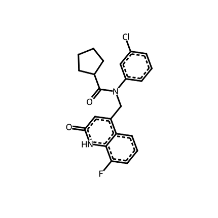 O=C(C1CCCC1)N(Cc1cc(=O)[nH]c2c(F)cccc12)c1cccc(Cl)c1